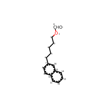 O=[C]OCCCCCc1ccc2ccccc2c1